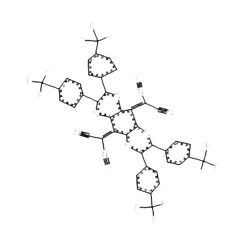 [C-]#[N+]C(C#N)=c1c2nc(-c3ccc(C(F)(F)F)cc3)c(-c3ccc(C(F)(F)F)cc3)nc2c(=C(C#N)[N+]#[C-])c2nc(-c3ccc(C(F)(F)F)cc3)c(-c3ccc(C(F)(F)F)cc3)nc12